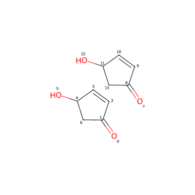 O=C1C=CC(O)C1.O=C1C=CC(O)C1